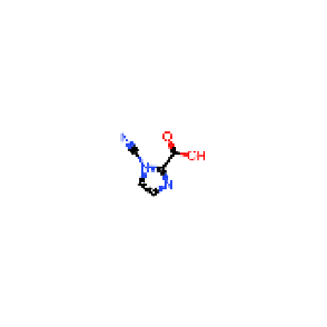 N#Cn1ccnc1C(=O)O